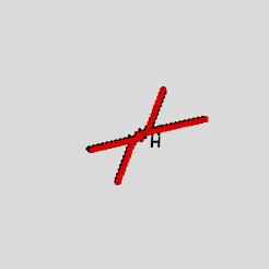 CCCCCCCCCCCCCCCCCCCCCCNCCN(CCCCCCCCCCCCCCCCCCCC)CCN1CCN(CCN(CCCCCCCCCCCCCCCCCCCC)CCCCCCCCCCCCCCCCCCCC)CC1